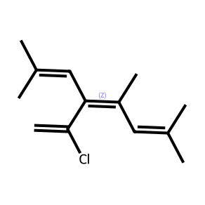 C=C(Cl)/C(C=C(C)C)=C(/C)C=C(C)C